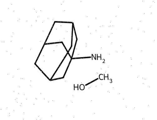 CO.NC12CC3CC(CC(C3)C1)C2